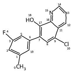 Cc1cc(F)cc(-c2cc(Cl)c3cccnc3c2O)c1